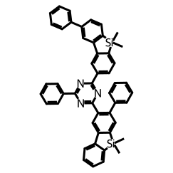 C[Si]1(C)c2ccc(-c3ccccc3)cc2-c2cc(-c3nc(-c4ccccc4)nc(-c4cc5c(cc4-c4ccccc4)[Si](C)(C)c4ccccc4-5)n3)ccc21